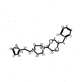 c1ccc(CC2COC(N3CCN(CCc4cccs4)CC3)CO2)cc1